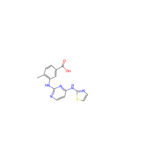 Cc1ccc(C(=O)O)cc1Nc1nccc(Nc2nccs2)n1